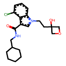 O=C(NCC1CCCCC1)c1cn(CCC2(O)COC2)c2cccc(Cl)c12